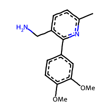 COc1ccc(-c2nc(C)ccc2CN)cc1OC